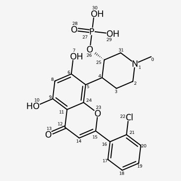 CN1CCC(c2c(O)cc(O)c3c(=O)cc(-c4ccccc4Cl)oc23)[C@H](OP(=O)(O)O)C1